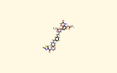 Cc1nc(C(=O)N2CCOC3(CCN(Cc4cccc(CCNCC(OC(=O)C(F)(F)F)c5ccc(OC(=O)C(F)(F)F)c6c5OCC(=O)N6)c4)CC3)C2)cs1